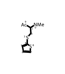 CNC(CSc1cccs1)C(C)=O